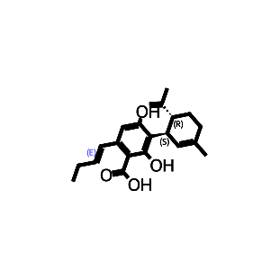 C=C(C)[C@@H]1CCC(C)=C[C@H]1c1c(O)cc(/C=C/CC)c(C(=O)O)c1O